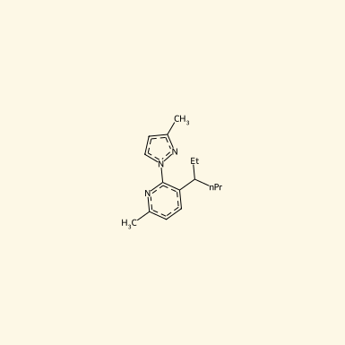 CCCC(CC)c1ccc(C)nc1-n1ccc(C)n1